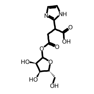 O=C(CC(C(=O)O)c1ncc[nH]1)OC1O[C@H](CO)[C@@H](O)[C@H]1O